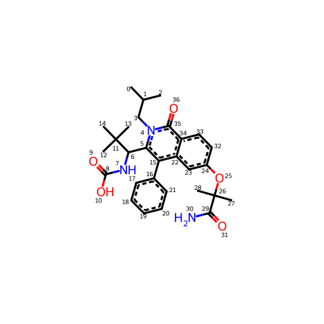 CC(C)Cn1c(C(NC(=O)O)C(C)(C)C)c(-c2ccccc2)c2cc(OC(C)(C)C(N)=O)ccc2c1=O